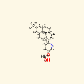 CC(C)(C)c1cc2ccc3ccc(-c4ccc(OBO)cn4)c4ccc(c1)c2c34